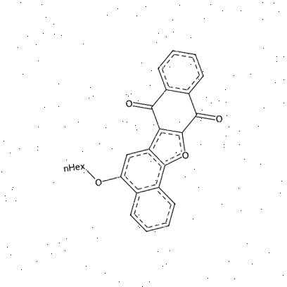 CCCCCCOc1cc2c3c(oc2c2ccccc12)C(=O)c1ccccc1C3=O